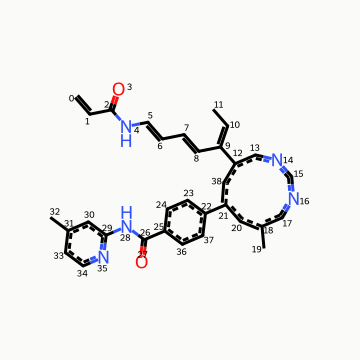 C=CC(=O)N/C=C/C=C/C(=C\C)c1cncncc(C)cc(-c2ccc(C(=O)Nc3cc(C)ccn3)cc2)c1